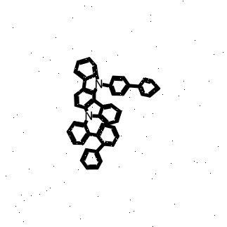 c1ccc(-c2ccc(-n3c4ccccc4c4ccc5c(c6ccccc6n5-c5ccccc5-c5ccccc5-c5ccccc5)c43)cc2)cc1